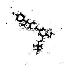 CC1(c2ccc(F)cc2)C(=O)Nc2nc(-c3cn4ncnc4c(CCC(F)(F)C(F)(F)F)n3)ncc21